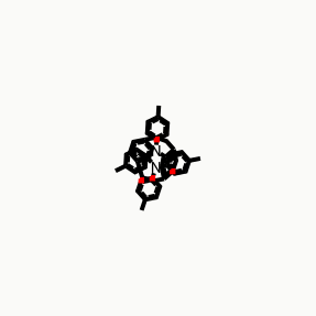 Cc1ccc(N(c2ccc(C)cc2)c2cc3ccc2CCc2ccc(c(N(c4ccc(C)cc4)c4ccc(C)cc4)c2)CC3)cc1